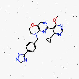 COc1ncnc(C2CC2)c1-c1ncc2c(n1)N(Cc1ccc(C3=NCN=N3)cc1)CCO2